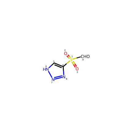 O=CS(=O)(=O)c1c[nH]nn1